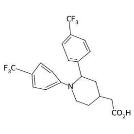 O=C(O)CC1CCN(c2ccc(C(F)(F)F)cc2)C(c2ccc(C(F)(F)F)cc2)C1